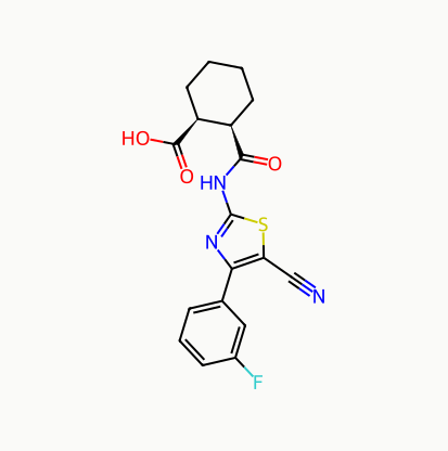 N#Cc1sc(NC(=O)[C@@H]2CCCC[C@@H]2C(=O)O)nc1-c1cccc(F)c1